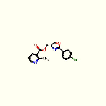 Cc1ncccc1C(=O)OC[C@@H]1COC(c2ccc(Br)cc2)=N1